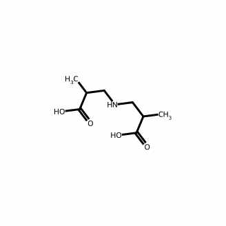 CC(CNCC(C)C(=O)O)C(=O)O